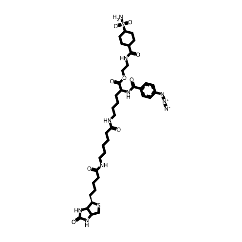 [N-]=[N+]=Nc1ccc(C(=O)NC(CCCCNC(=O)CCCCCNC(=O)CCCC[C@H]2SCC3NC(=O)NC32)C(=O)OCCNC(=O)C2CCC(S(N)(=O)=O)CC2)cc1